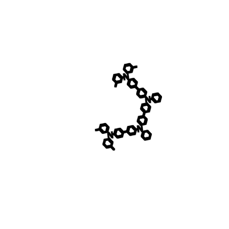 CC1=CCCC(N(c2ccc(-c3ccc(N(C4=CC=CCC4)c4ccc(-c5ccc(N(c6ccccc6)c6ccc(-c7ccc(N(c8cccc(C)c8)C8C=C(C)C=CC8)cc7)cc6)cc5)cc4)cc3)cc2)c2cccc(C)c2)=C1